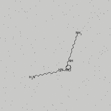 Cl.NCCCCCCCCCCCCNCc1cccc(CNCCCCCCCCCCCCN)c1